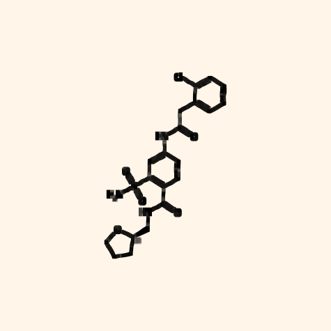 NS(=O)(=O)c1cc(NC(=O)Cc2ccccc2Cl)ccc1C(=O)NC[C@H]1CCCO1